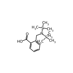 C[Si](C)(C)N(Cc1ccccc1C(=O)O)[Si](C)(C)C